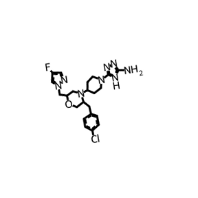 Nc1nnc(N2CCC(N3CC(Cn4cc(F)cn4)OCC3Cc3ccc(Cl)cc3)CC2)[nH]1